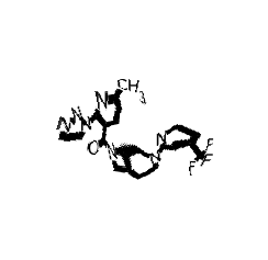 Cc1ccc(C(=O)N2CC3CCN(c4cc(C(F)(F)F)ccn4)CC32)c(-n2ccnn2)n1